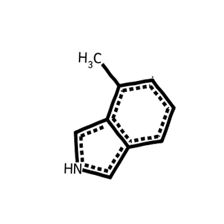 Cc1[c]ccc2c[nH]cc12